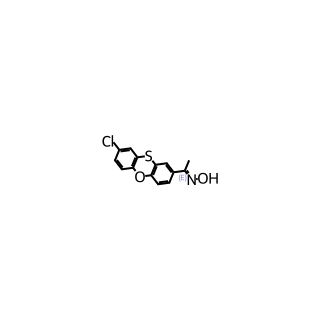 C/C(=N\O)c1ccc2c(c1)Sc1cc(Cl)ccc1O2